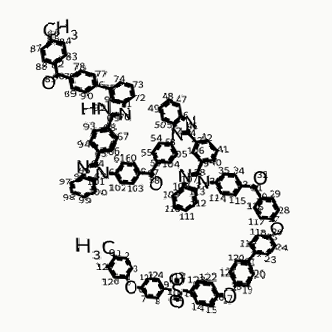 Cc1ccc(Oc2ccc(S(=O)(=O)c3ccc(Oc4ccc(-c5ccc(Oc6ccc(C(=O)c7ccc(-n8c(-c9cccc(-c%10nc%11ccccc%11n%10-c%10ccc(C(=O)c%11ccc(-n%12c(-c%13ccc(-c%14nc%15cccc(-c%16ccc(C(=O)c%17ccc(C)cc%17)cc%16)c%15[nH]%14)cc%13)nc%13ccccc%13%12)cc%11)cc%10)c9)nc9ccccc98)cc7)cc6)cc5)cc4)cc3)cc2)cc1